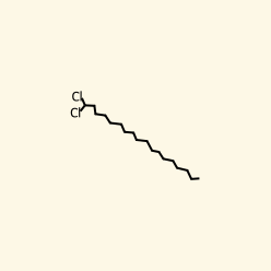 CCCCCCCCCCCCCCCCCC(Cl)Cl